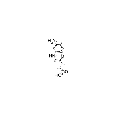 Nc1ccc2c(c1)NCC(CCC(=O)O)O2